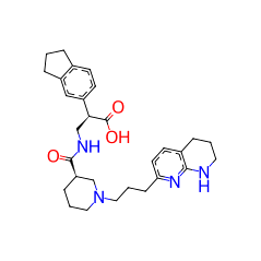 O=C(NC[C@H](C(=O)O)c1ccc2c(c1)CCC2)[C@@H]1CCCN(CCCc2ccc3c(n2)NCCC3)C1